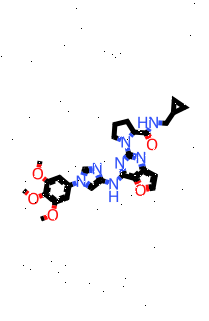 COc1cc(-n2cnc(Nc3nc(N4CCCC4C(=O)NCC4CC4)nc4ccoc34)c2)cc(OC)c1OC